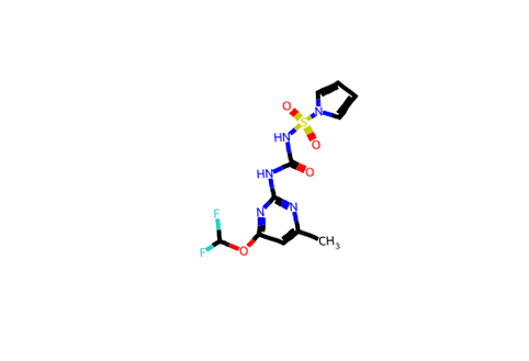 Cc1cc(OC(F)F)nc(NC(=O)NS(=O)(=O)n2cccc2)n1